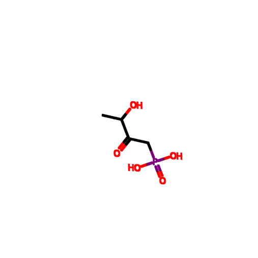 CC(O)C(=O)CP(=O)(O)O